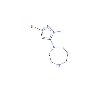 CN1CCCN(c2cc(Br)nn2C)CC1